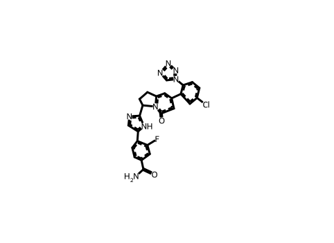 NC(=O)c1ccc(-c2cnc(C3CCc4cc(-c5cc(Cl)ccc5-n5cnnn5)cc(=O)n43)[nH]2)c(F)c1